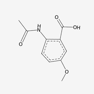 COc1ccc(NC(C)=O)c(C(=O)O)c1